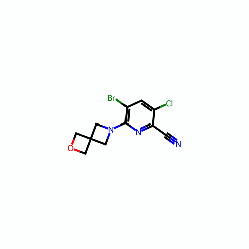 N#Cc1nc(N2CC3(COC3)C2)c(Br)cc1Cl